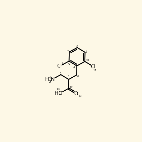 NCC(Cc1c(Cl)cccc1Cl)C(=O)O